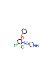 Clc1ccc(OCc2ccccc2)c(N2CC3(CCNCC3)C2)c1Cl